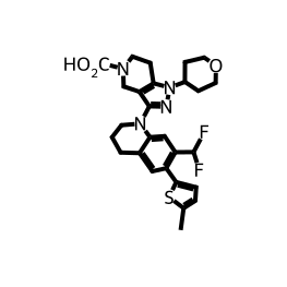 Cc1ccc(-c2cc3c(cc2C(F)F)N(c2nn(C4CCOCC4)c4c2CN(C(=O)O)CC4)CCC3)s1